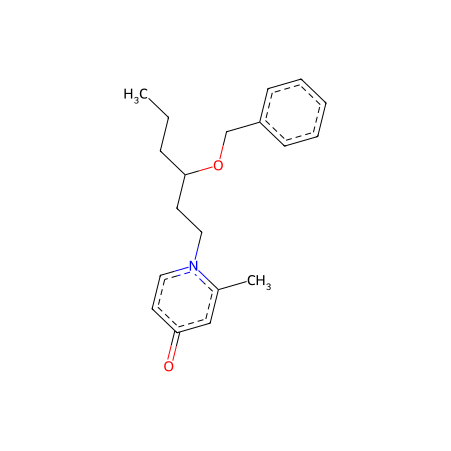 CCCC(CCn1ccc(=O)cc1C)OCc1ccccc1